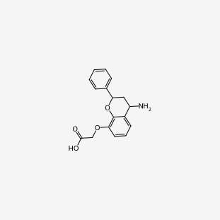 NC1CC(c2ccccc2)Oc2c(OCC(=O)O)cccc21